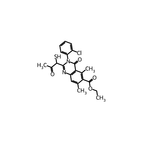 CCOC(=O)c1c(C)cc2nc(C(S)C(C)=O)n(-c3ccccc3Cl)c(=O)c2c1C